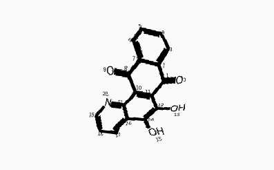 O=C1c2ccccc2C(=O)c2c1c(O)c(O)c1cccnc21